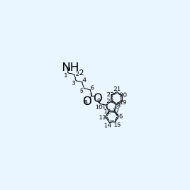 NCCCCCCC(=O)OCC1c2ccccc2-c2ccccc21